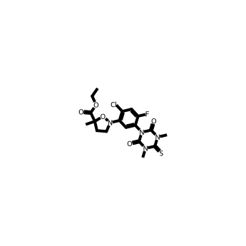 CCOC(=O)C1(C)CCN(c2cc(-n3c(=O)n(C)c(=S)n(C)c3=O)c(F)cc2Cl)O1